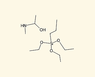 CCC[Si](OCC)(OCC)OCC.CNC(C)O